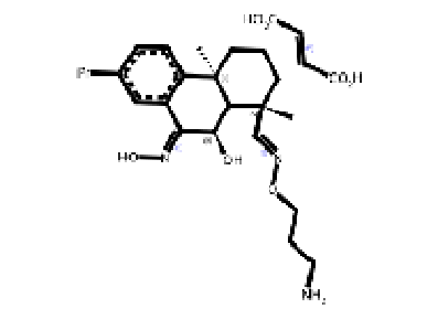 CC(C)c1ccc2c(c1)/C(=N\O)[C@H](O)C1[C@@](C)(/C=N/OCCCN)CCC[C@]21C.O=C(O)/C=C/C(=O)O